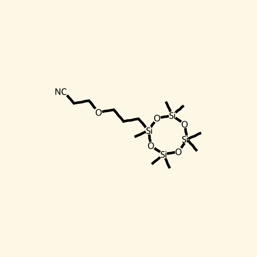 C[Si]1(C)O[Si](C)(C)O[Si](C)(CCCOCCC#N)O[Si](C)(C)O1